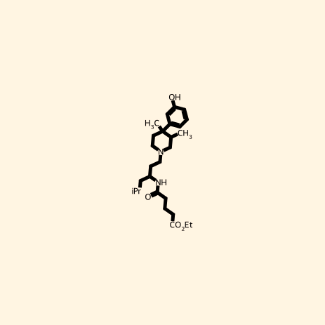 CCOC(=O)CCCC(=O)NC(CCN1CCC(C)(c2cccc(O)c2)C(C)C1)CC(C)C